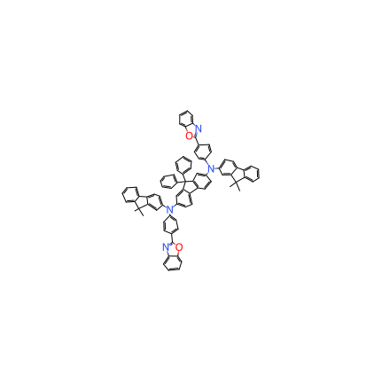 CC1(C)c2ccccc2-c2ccc(N(c3ccc(-c4nc5ccccc5o4)cc3)c3ccc4c(c3)C(c3ccccc3)(c3ccccc3)c3cc(N(c5ccc(-c6nc7ccccc7o6)cc5)c5ccc6c(c5)C(C)(C)c5ccccc5-6)ccc3-4)cc21